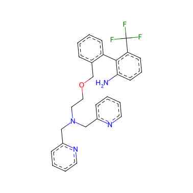 Nc1cccc(C(F)(F)F)c1-c1ccccc1COCCN(Cc1ccccn1)Cc1ccccn1